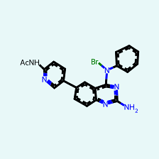 CC(=O)Nc1ccc(-c2ccc3nc(N)nc(N(Br)c4ccccc4)c3c2)cn1